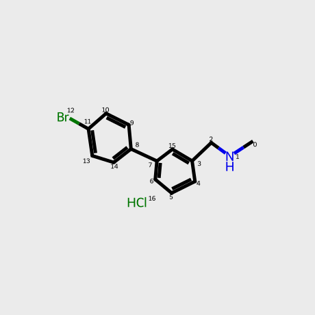 CNCc1cccc(-c2ccc(Br)cc2)c1.Cl